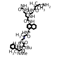 CNC(C(=O)NC(C(=O)N(C)C/C=C(\C)C(=O)NSc1ccc(NC(=O)C(CCCNC(N)=O)NC(=O)CNC(=O)CC(C)(C)CON)c2c1CCCC2)C(C)(C)C)C(C)(C)c1ccccc1